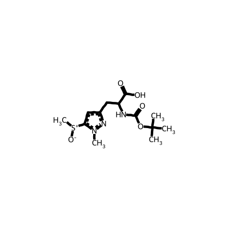 Cn1nc(CC(NC(=O)OC(C)(C)C)C(=O)O)cc1[S+](C)[O-]